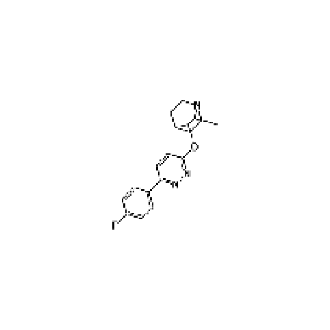 CC1C(Oc2ccc(-c3ccc(F)cc3)nn2)C2CCN1CC2